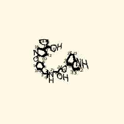 CC(C)(Cc1ccc(Oc2ccc(C(=O)O)cn2)cc1)NC[C@H](O)COc1cccc2[nH]ccc12